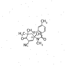 Cc1ccc(C(=O)N(C)[C@]2(C)C=C(C#N)C(=O)C(C)(C)C2)c(F)c1